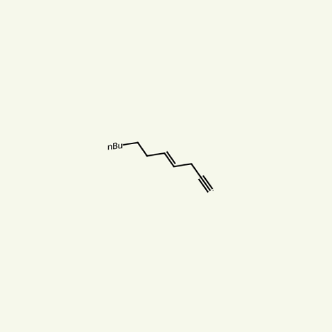 [C]#CCC=CCCCCCC